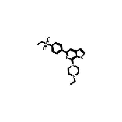 CCN1CCN(c2nc(-c3ccc(S(=O)(=O)CC)cc3)cc3ccsc23)CC1